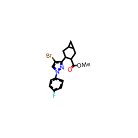 COC(=O)C1CC2CC2CC1c1nn(-c2ccc(F)cc2)cc1Br